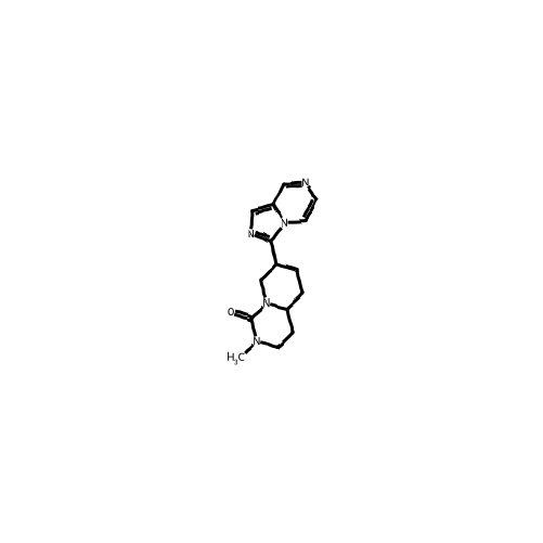 CN1CCC2CCC(c3ncc4cnccn34)CN2C1=O